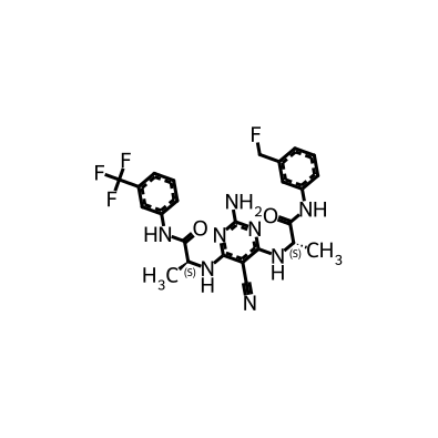 C[C@H](Nc1nc(N)nc(N[C@@H](C)C(=O)Nc2cccc(C(F)(F)F)c2)c1C#N)C(=O)Nc1cccc(CF)c1